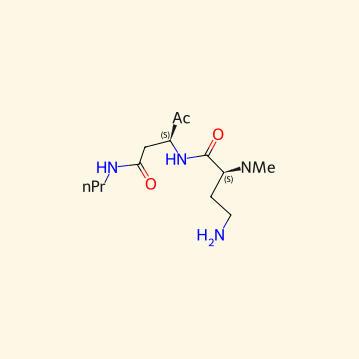 CCCNC(=O)C[C@H](NC(=O)[C@H](CCN)NC)C(C)=O